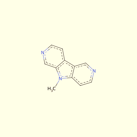 Cn1c2ccncc2c2ccncc21